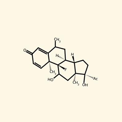 CC(=O)[C@@]1(O)CC[C@H]2[C@@H]3CC(C)C4=CC(=O)C=C[C@]4(C)[C@@]3(F)C(O)C[C@@]21C